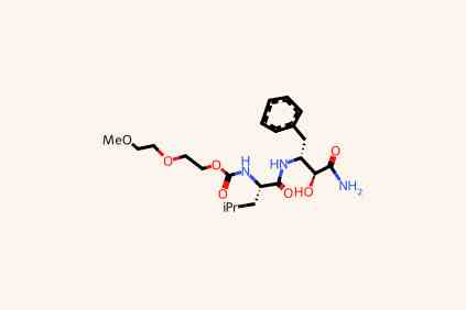 COCCOCCOC(=O)N[C@@H](CC(C)C)C(=O)N[C@H](Cc1ccccc1)[C@H](O)C(N)=O